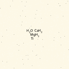 O.[CaH2].[MgH2].[Ti]